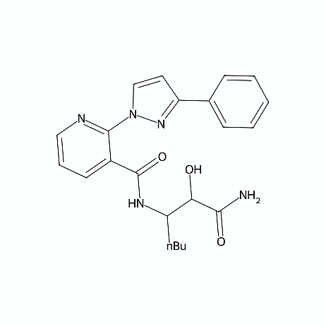 CCCCC(NC(=O)c1cccnc1-n1ccc(-c2ccccc2)n1)C(O)C(N)=O